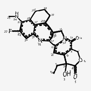 CCC1(O)C(=O)OCc2c1cc1n(c2=O)Cc2c-1nc1cc(F)c(NC)c3c1c2CCC3